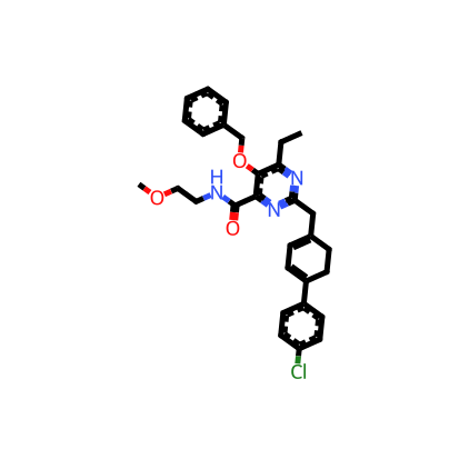 CCc1nc(CC2=CC=C(c3ccc(Cl)cc3)CC2)nc(C(=O)NCCOC)c1OCc1ccccc1